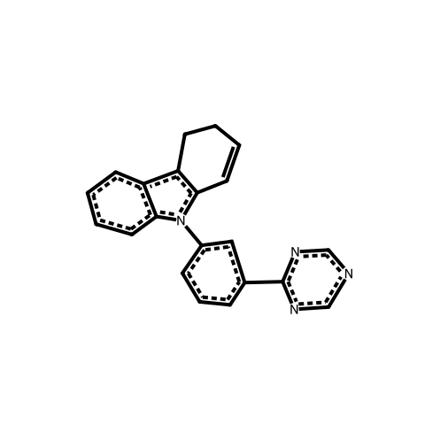 C1=Cc2c(c3ccccc3n2-c2cccc(-c3ncncn3)c2)CC1